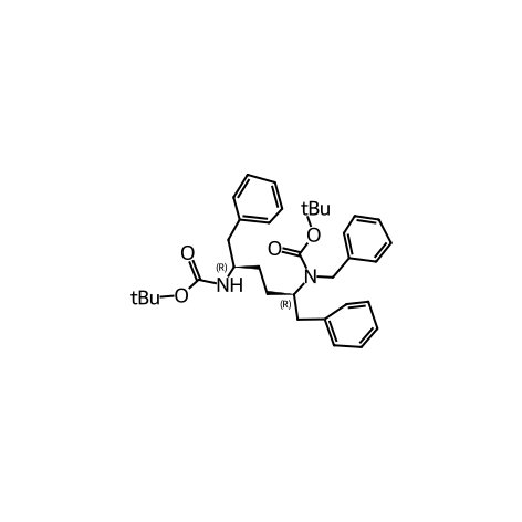 CC(C)(C)OC(=O)N[C@H](CC[C@H](Cc1ccccc1)N(Cc1ccccc1)C(=O)OC(C)(C)C)Cc1ccccc1